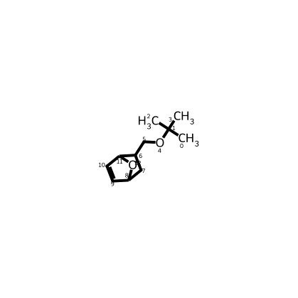 CC(C)(C)OCC1CC2C=CC1O2